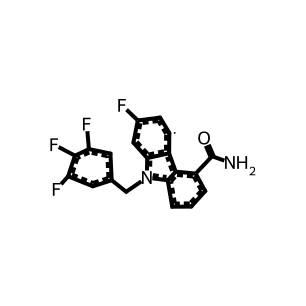 NC(=O)c1cccc2c1c1[c]cc(F)cc1n2Cc1cc(F)c(F)c(F)c1